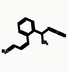 C=C/C=C\c1ccccc1C(C)N=C=O